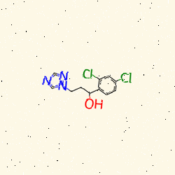 OC(CCn1cncn1)c1ccc(Cl)cc1Cl